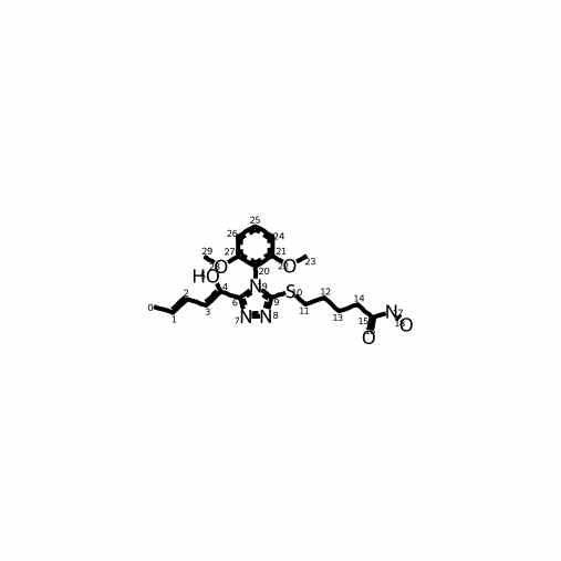 C/C=C/C=C(\O)c1nnc(SCCCCC(=O)N=O)n1-c1c(OC)cccc1OC